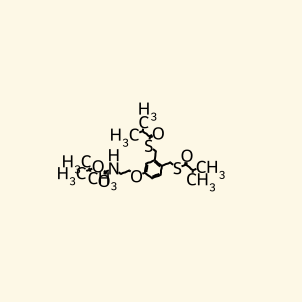 CC(C)C(=O)SCc1ccc(OCCNC(=O)OC(C)(C)C)cc1CSC(=O)C(C)C